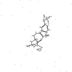 CCC1C[C@H]2CC3c4[nH]c5ccc(OC(F)(F)F)cc5c4CCN(C2)C13